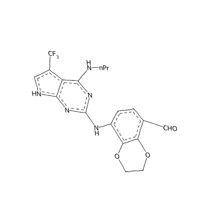 CCCNc1nc(Nc2ccc(C=O)c3c2OCCO3)nc2[nH]cc(C(F)(F)F)c12